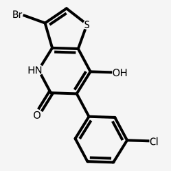 O=c1[nH]c2c(Br)csc2c(O)c1-c1cccc(Cl)c1